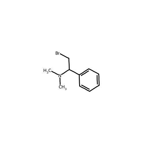 CN(C)C(CBr)c1ccccc1